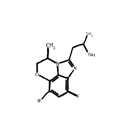 CC(O)Cc1nc2c(F)cc(Br)c3c2n1C(C)CO3